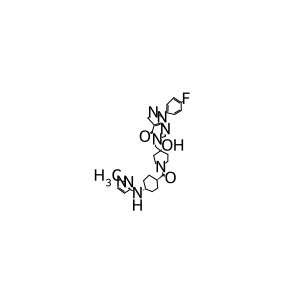 Cn1ccc(N[C@H]2CC[C@H](C(=O)N3CCC(O)(Cn4cnc5c(cnn5-c5ccc(F)cc5)c4=O)CC3)CC2)n1